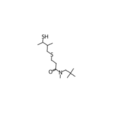 CC(S)C(C)CSCCC(=O)N(C)CC(C)(C)C